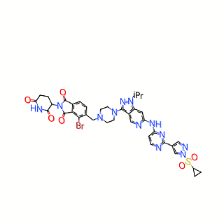 CC(C)n1nc(N2CCN(Cc3ccc4c(c3Br)C(=O)N(C3CCC(=O)NC3=O)C4=O)CC2)c2cnc(Nc3ccnc(-c4cnn(S(=O)(=O)C5CC5)c4)n3)cc21